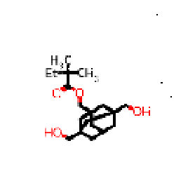 CCC(C)(C)C(=O)OCC12CC3CC(CO)(CC(CO)(C3)C1)C2